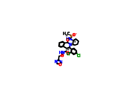 C[S+]([O-])N[C@H]1CCCC[C@@H]1N1C(=O)c2ccccc2[C@@H](C(=O)NOCc2ncon2)[C@@H]1c1ccc(Cl)cc1Cl